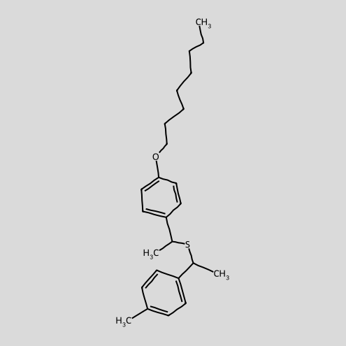 CCCCCCCCOc1ccc(C(C)SC(C)c2ccc(C)cc2)cc1